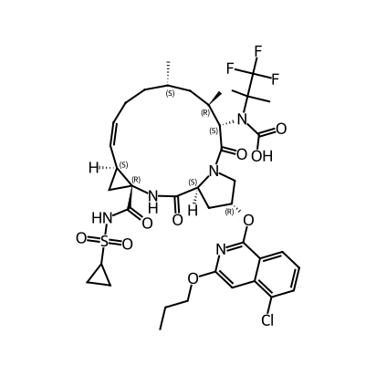 CCCOc1cc2c(Cl)cccc2c(O[C@@H]2C[C@H]3C(=O)N[C@]4(C(=O)NS(=O)(=O)C5CC5)C[C@H]4C=CCC[C@H](C)C[C@@H](C)[C@H](N(C(=O)O)C(C)(C)C(F)(F)F)C(=O)N3C2)n1